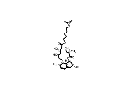 CC[C@H](C)C(=O)O[C@H]1C[C@H](O)C=C2C=C[C@H](C)[C@H](CCC(O)C[C@H](O)CC(=O)OCCOCCO[N+](=O)[O-])[C@H]21